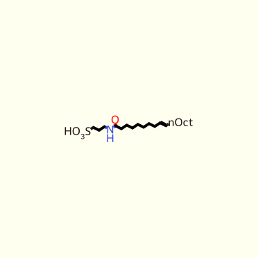 CCCCCCCCC=CCCCCCCCC(=O)NCCCS(=O)(=O)O